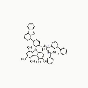 N/C(=N\C(=N/Cc1ccc(-c2cccc3c2sc2ccccc23)cc1-n1c2c(O)cc(O)c(O)c2c2c(O)c(O)cc(O)c21)c1cccc(-c2ccccc2)c1)c1ccccc1